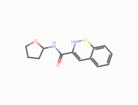 O=C(NC1CCCO1)C1=Cc2ccccc2SN1